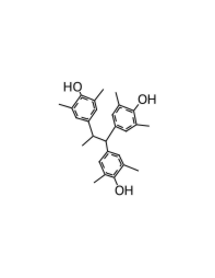 Cc1cc(C(C)C(c2cc(C)c(O)c(C)c2)c2cc(C)c(O)c(C)c2)cc(C)c1O